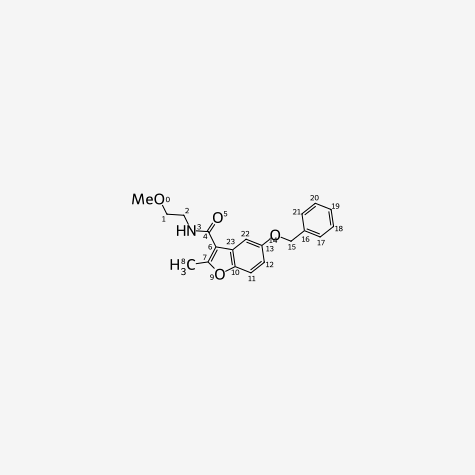 COCCNC(=O)c1c(C)oc2ccc(OCc3ccccc3)cc12